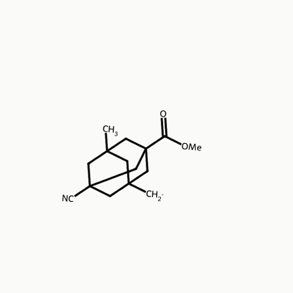 [CH2]C12CC3(C)CC(C#N)(C1)CC(C(=O)OC)(C2)C3